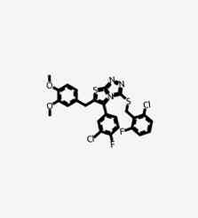 COc1ccc(Cc2sc3nnc(SCc4c(F)cccc4Cl)n3c2-c2ccc(F)c(Cl)c2)cc1OC